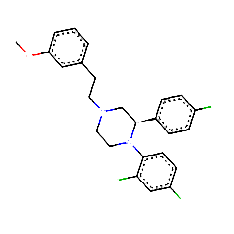 COc1cccc(CCN2CCN(c3ccc(Cl)cc3Cl)[C@H](c3ccc(Cl)cc3)C2)c1